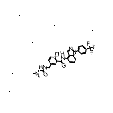 CN(C)CC(=O)NCc1ccc(Cl)c(C(=O)Nc2cccc3c2cnn3-c2ccc(C(F)(F)F)cc2)c1